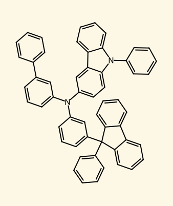 c1ccc(-c2cccc(N(c3cccc(C4(c5ccccc5)c5ccccc5-c5ccccc54)c3)c3ccc4c(c3)c3ccccc3n4-c3ccccc3)c2)cc1